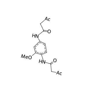 COc1cc(NC(=O)CC(C)=O)ccc1NC(=O)CC(C)=O